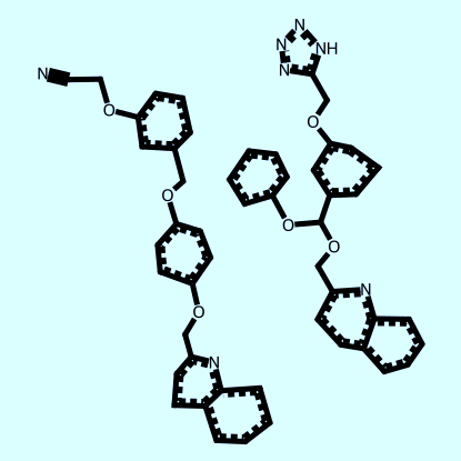 N#CCOc1cccc(COc2ccc(OCc3ccc4ccccc4n3)cc2)c1.c1ccc(OC(OCc2ccc3ccccc3n2)c2cccc(OCc3nnn[nH]3)c2)cc1